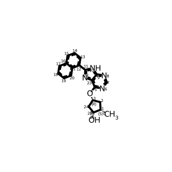 C[C@H]1C[C@@H](Oc2ncnc3[nH]c(-c4cccc5ccccc45)nc23)C[C@H]1O